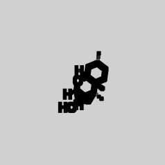 C[C@@H]1CC[C@@]2(C)[C@@H](C1)O[C@@H]1C(O)=C[C@@]2(C)[C@@H]1C